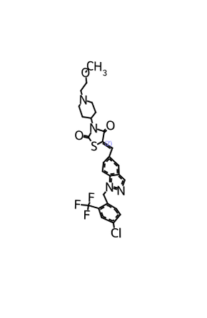 COCCN1CCC(N2C(=O)S/C(=C\c3ccc4c(cnn4Cc4ccc(Cl)cc4C(F)(F)F)c3)C2=O)CC1